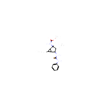 CCOC(=O)C1C2C(NC(=S)Nc3ccccc3)CC(NC(=O)OC(C)(C)C)(C(=O)OCC)C12